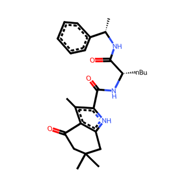 CCCC[C@H](NC(=O)c1[nH]c2c(c1C)C(=O)CC(C)(C)C2)C(=O)N[C@@H](C)c1ccccc1